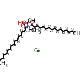 CCCCCCCCCCCCCCCC(=O)[N+](CC)(C(=O)CCCCCCCCCCCCCCC)C(C)O.[Cl-]